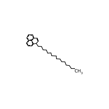 CCCCCCCCCCCCCCCCCC1C=Cc2cccc3cccc1c23